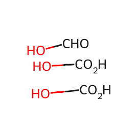 O=C(O)O.O=C(O)O.O=CO